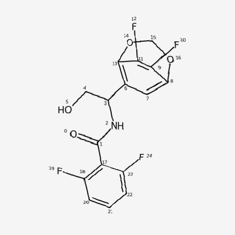 O=C(NC(CO)c1cc2c(F)c(F)c1OCO2)c1c(F)cccc1F